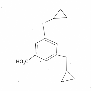 O=C(O)c1cc(CC2CC2)cc(CC2CC2)c1